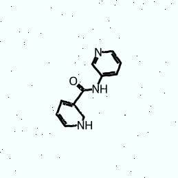 O=C(Nc1cccnc1)C1=CC=CNC1